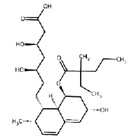 CCCC(C)(CC)C(=O)O[C@H]1C[C@H](O)C=C2C=C[C@H](C)[C@H](CC[C@@H](O)C[C@@H](O)CC(=O)O)[C@H]21